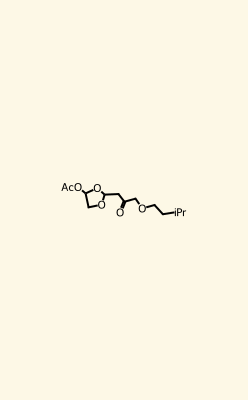 CC(=O)OC1COC(CC(=O)COCCC(C)C)O1